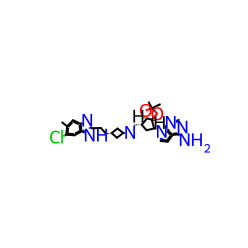 Cc1cc2nc(CC[C@H]3C[C@H](N(C)C[C@H]4C[C@@H](n5ccc6c(N)ncnc65)[C@@H]5OC(C)(C)O[C@H]45)C3)[nH]c2cc1Cl